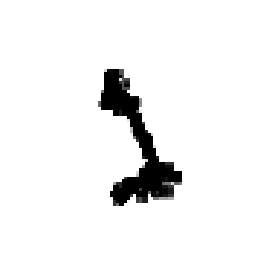 Cc1ncsc1-c1ccc(CNC(=O)[C@@H]2C[C@@H](O)CN2C(=O)C(NC(=O)CCCOCCOCCOCCOCCNC(=O)c2ccc3c(c2)c2cn(C)nc2n3-c2ccc(C(F)(F)F)cc2)C(C)(C)C)cc1